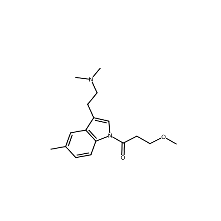 COCCC(=O)n1cc(CCN(C)C)c2cc(C)ccc21